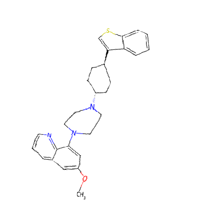 COc1cc(N2CCN([C@H]3CC[C@H](c4csc5ccccc54)CC3)CC2)c2ncccc2c1